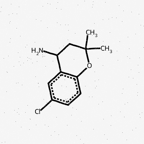 CC1(C)CC(N)c2cc(Cl)ccc2O1